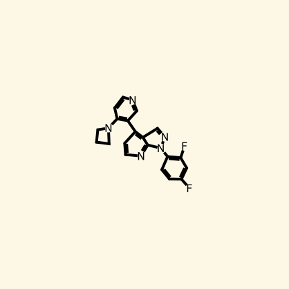 Fc1ccc(-n2ncc3c(-c4cnccc4N4CCC4)ccnc32)c(F)c1